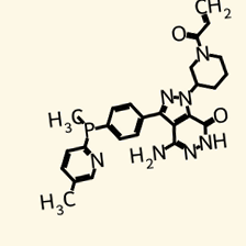 C=CC(=O)N1CCCC(n2nc(-c3ccc(P(C)c4ccc(C)cn4)cc3)c3c(N)n[nH]c(=O)c32)C1